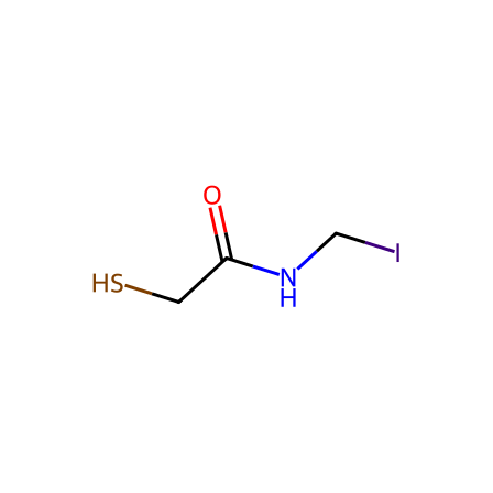 O=C(CS)NCI